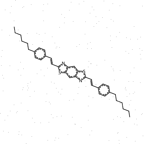 CCCCCCc1ccc(/C=C/c2nc3cc4sc(/C=C/c5ccc(CCCCCC)cc5)nc4cc3s2)cc1